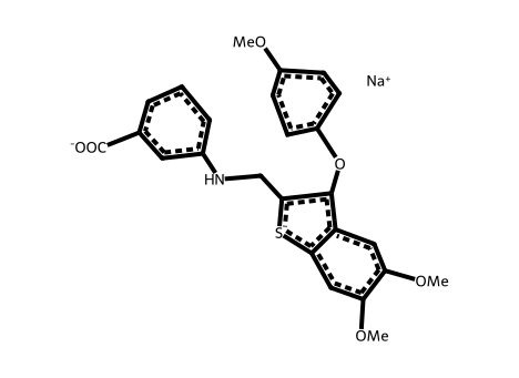 COc1ccc(Oc2c(CNc3cccc(C(=O)[O-])c3)sc3cc(OC)c(OC)cc23)cc1.[Na+]